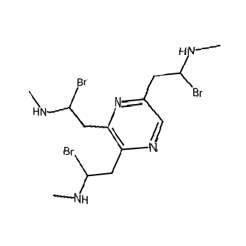 CNC(Br)Cc1cnc(CC(Br)NC)c(CC(Br)NC)n1